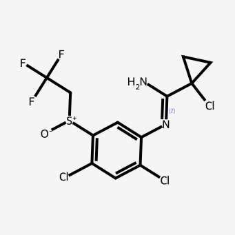 N/C(=N\c1cc([S+]([O-])CC(F)(F)F)c(Cl)cc1Cl)C1(Cl)CC1